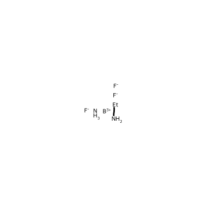 CCN.N.[B+3].[F-].[F-].[F-]